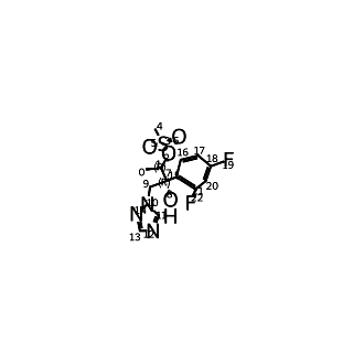 C[C@@H](OS(C)(=O)=O)[C@](O)(Cn1cncn1)c1ccc(F)cc1F